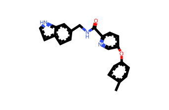 Cc1ccc(Oc2ccc(C(=O)NCc3ccc4cc[nH]c4c3)nc2)cc1